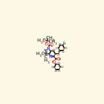 CC(C)(C)OC(=O)N1CC(C)(C)c2nc(C(=O)Oc3ccccc3)c(Cc3ccc(F)cc3)cc21